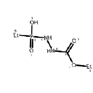 CCOC(=O)NNP(=O)(O)CC